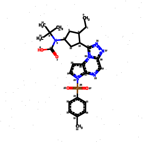 CCC1CC(N(C(=O)O)C(C)(C)C)CC1c1nnc2cnc3c(ccn3S(=O)(=O)c3ccc(C)cc3)n12